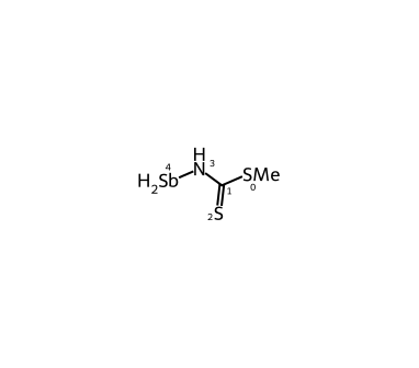 CSC(=S)[NH][SbH2]